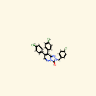 O=c1n(Cc2ccc(Cl)cc2)nc2c(-c3ccc(Cl)cc3)c(-c3ccc(Cl)cc3)cnn12